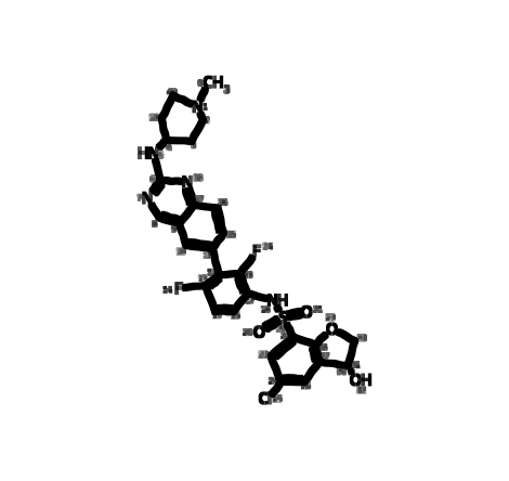 CN1CCC(Nc2ncc3cc(-c4c(F)ccc(NS(=O)(=O)c5cc(Cl)cc6c5OC[C@H]6O)c4F)ccc3n2)CC1